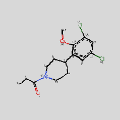 CCC(=O)N1CCC(c2cc(Cl)cc(Cl)c2OC)CC1